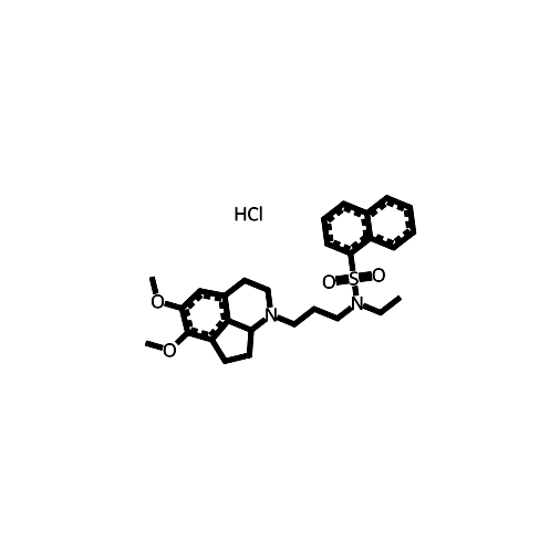 CCN(CCCN1CCc2cc(OC)c(OC)c3c2C1CC3)S(=O)(=O)c1cccc2ccccc12.Cl